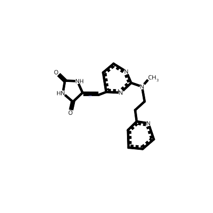 CN(CCc1ccccn1)c1nccc(/C=C2\NC(=O)NC2=O)n1